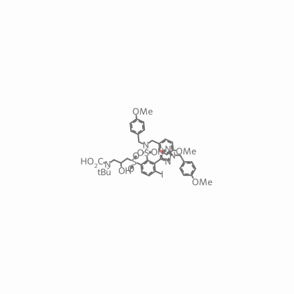 COc1ccc(CN(Cc2ccc(OC)cc2)S(=O)(=O)c2c(S(=O)(=O)CC(O)CN(C(=O)O)C(C)(C)C)ccc(I)c2-c2nnn(Cc3ccc(OC)cc3)n2)cc1